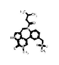 CC(C)CC(=O)N1Cc2c[nH]c3c(=O)n(C)cc(c23)-c2cc(CS(C)(=O)=O)ccc21